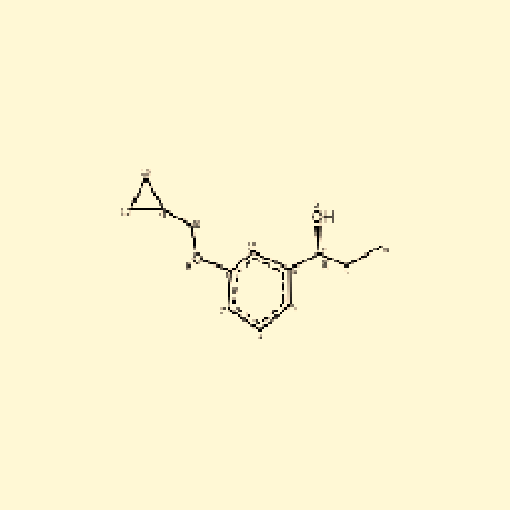 CC[C@H](O)c1cccc(OCC2CC2)c1